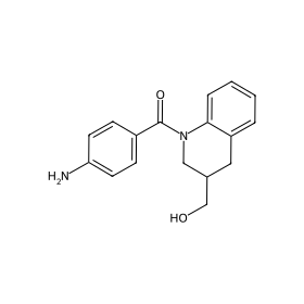 Nc1ccc(C(=O)N2CC(CO)Cc3ccccc32)cc1